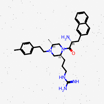 Cc1ccc(CCN2C[C@H](CCCNC(=N)N)N(C(=O)[C@H](N)Cc3ccc4ccccc4c3)C[C@H]2C)cc1